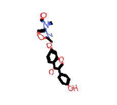 CN(C=O)c1coc(COc2ccc3c(=O)c(-c4ccc(O)cc4)coc3c2)n1